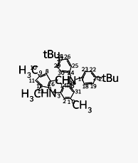 Cc1cc(Nc2c(C)cc(C)cc2C)cc(N(c2ccc(C(C)(C)C)cc2)c2ccc(C(C)(C)C)cc2)c1